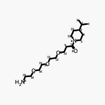 CC(C)C1CCN(C(=O)CCOCCOCCOCCN)CC1